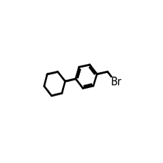 BrCc1ccc([C]2CCCCC2)cc1